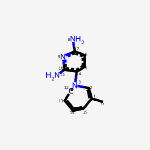 CC1=CN(c2ccc(N)nc2N)CC=C=C1